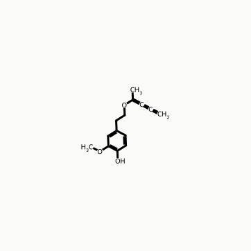 C=C=C=C(C)OCCc1ccc(O)c(OC)c1